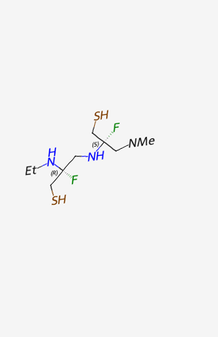 CCN[C@](F)(CS)CN[C@@](F)(CS)CNC